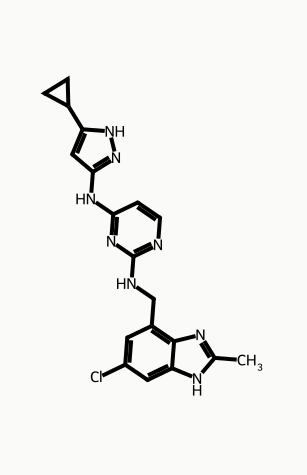 Cc1nc2c(CNc3nccc(Nc4cc(C5CC5)[nH]n4)n3)cc(Cl)cc2[nH]1